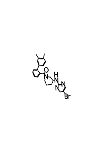 Cc1ccc(-c2ccccc2C(=O)N2CCCC(Nc3ncc(Br)cn3)C2)cc1C